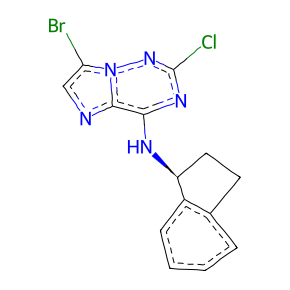 Clc1nc(N[C@H]2CCc3ccccc32)c2ncc(Br)n2n1